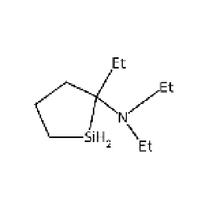 CCN(CC)C1(CC)CCC[SiH2]1